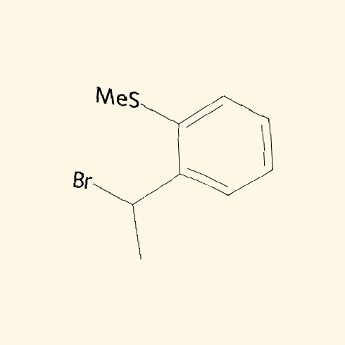 CSc1ccccc1C(C)Br